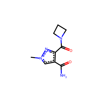 Cn1cc(C(N)=O)c(C(=O)N2CCC2)n1